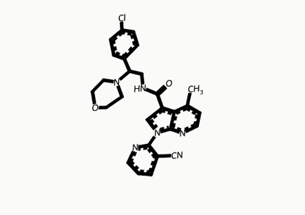 Cc1ccnc2c1c(C(=O)NCC(c1ccc(Cl)cc1)N1CCOCC1)cn2-c1ncccc1C#N